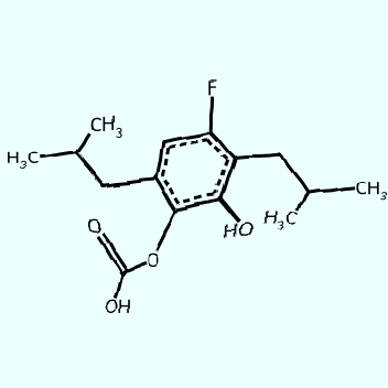 CC(C)Cc1cc(F)c(CC(C)C)c(O)c1OC(=O)O